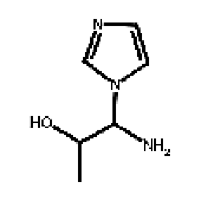 CC(O)C(N)n1ccnc1